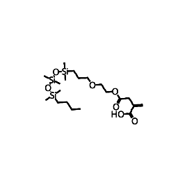 C=C(CC(=O)OCCOCCC[Si](C)(C)O[Si](C)(C)O[Si](C)(C)CCCC)C(=O)O